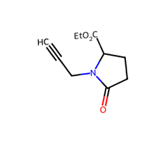 C#CCN1C(=O)CCC1C(=O)OCC